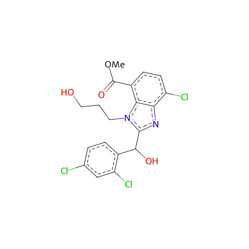 COC(=O)c1ccc(Cl)c2nc(C(O)c3ccc(Cl)cc3Cl)n(CCCO)c12